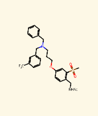 CC(=O)NCc1ccc(OCCCN(Cc2ccccc2)Cc2cccc(C(F)(F)F)c2)cc1S(C)(=O)=O